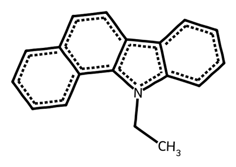 CCn1c2ccccc2c2ccc3ccccc3c21